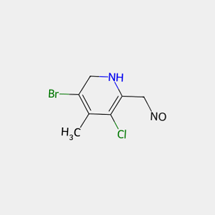 CC1=C(Br)CNC(CN=O)=C1Cl